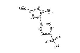 CCS(=O)(=O)c1ccc(-n2nc(OC)cc2N)cc1